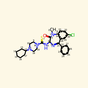 CN1C(=O)C(NC(=S)N2CCN(C3CCCCC3)CC2)N=C(c2ccccc2)c2cc(Cl)ccc21